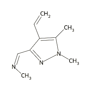 C=Cc1c(/C=N\C)nn(C)c1C